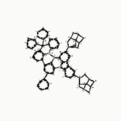 c1ccc(-c2cc3c4c(c2)-n2c5ccc(C67CC8CC9CC(C6)C98C7)cc5c5cc(C67CC8CC9CC(C6)C98C7)cc(c52)B4N2c4ccccc4C(c4ccccc4)(c4ccccc4)c4cccc-3c42)cc1